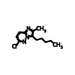 CCCCCc1c(C)nc2ccc(Cl)nn12